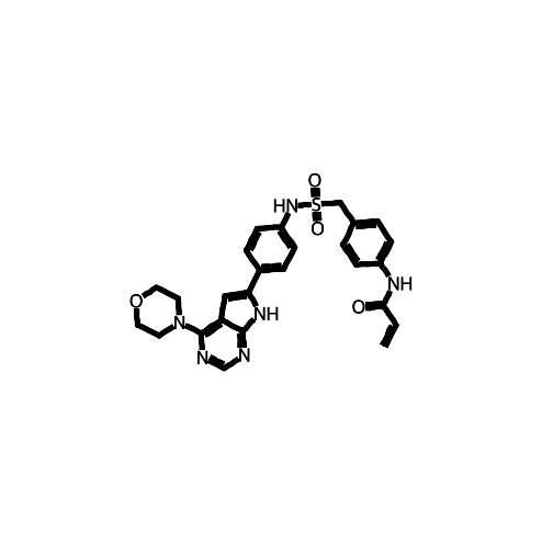 C=CC(=O)Nc1ccc(CS(=O)(=O)Nc2ccc(-c3cc4c(N5CCOCC5)ncnc4[nH]3)cc2)cc1